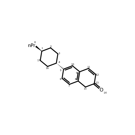 CCC[C@H]1CC[C@H](c2ccc3c(c2)C=CC(=O)C3)CC1